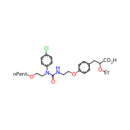 CCCCCOCCN(C(=O)NCCOc1ccc(CC(OCC)C(=O)O)cc1)c1ccc(Cl)cc1